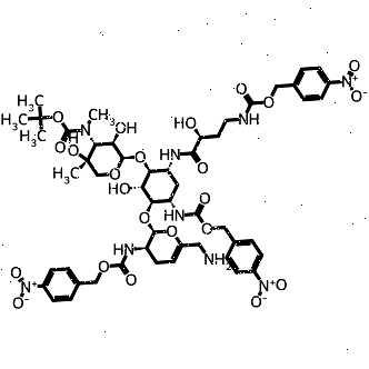 CN(C(=O)OC(C)(C)C)[C@@H]1[C@@H](O)[C@@H](O[C@@H]2[C@@H](O)[C@H](O[C@H]3OC(CN)=CC[C@H]3NC(=O)OCc3ccc([N+](=O)[O-])cc3)[C@@H](NC(=O)OCc3ccc([N+](=O)[O-])cc3)C[C@H]2NC(=O)[C@@H](O)CCNC(=O)OCc2ccc([N+](=O)[O-])cc2)OC[C@]1(C)O